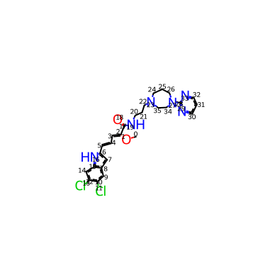 COC(=CC=Cc1cc2cc(Cl)c(Cl)cc2[nH]1)C(=O)NCCCN1CCCN(c2ncccn2)CC1